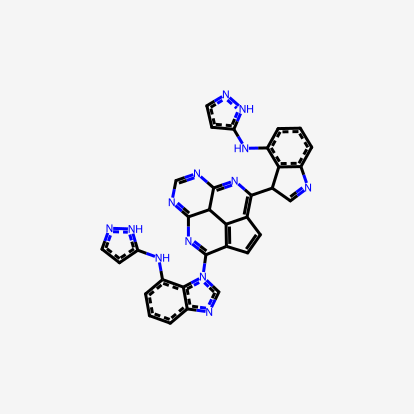 C1=CC2=C(C3C=Nc4cccc(Nc5ccn[nH]5)c43)N=C3N=CN=C4N=C(n5cnc6cccc(Nc7ccn[nH]7)c65)C1=C2C43